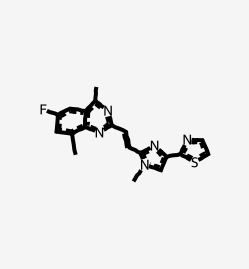 Cc1nc(C=Cc2nc(-c3nccs3)cn2C)nc2c(C)cc(F)cc12